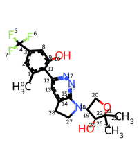 Cc1cc(C(F)(F)F)cc(O)c1-c1cc2c(nn1)N([C@@H]1COC(C)(C)[C@H]1O)CC2